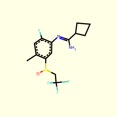 Cc1cc(F)c(/N=C(\N)C2CCC2)cc1[S+]([O-])CC(F)(F)F